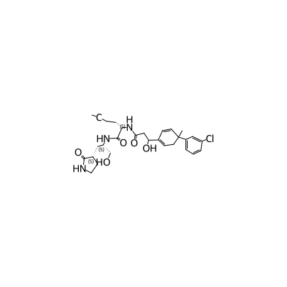 CCCC[C@H](NC(=O)CC(O)C1=CCC(C)(c2cccc(Cl)c2)C=C1)C(=O)N[C@H](CO)C[C@@H]1CCNC1=O